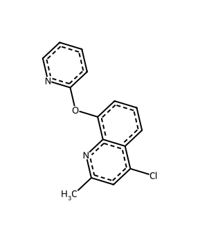 Cc1cc(Cl)c2cccc(Oc3ccccn3)c2n1